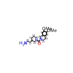 COc1cc2c(cc1OC)CN(C(=O)N1CCCC(CCN)C1)CC2